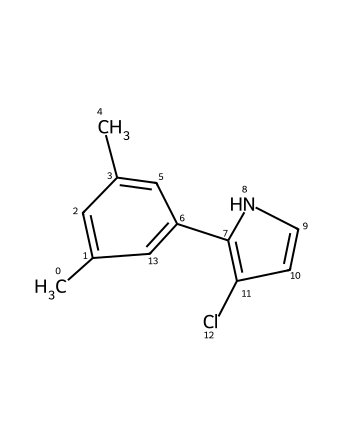 Cc1cc(C)cc(-c2[nH]ccc2Cl)c1